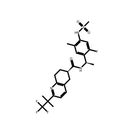 Cc1cc([C@@H](C)NC(=O)[C@@H]2CCc3nc(C(C)(C)C(F)(F)F)ccc3C2)c(F)cc1NS(C)(=O)=O